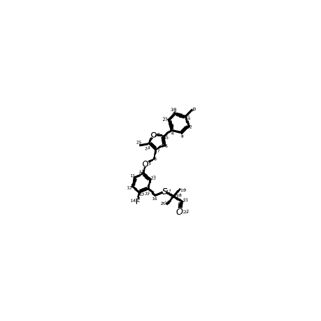 Cc1ccc(-c2cc(COc3ccc(F)c(CSC(C)(C)C=O)c3)c(C)o2)cc1